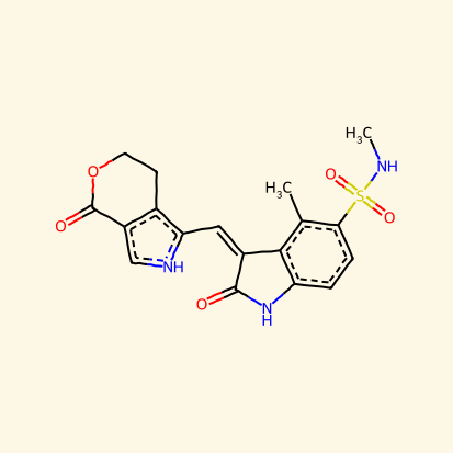 CNS(=O)(=O)c1ccc2c(c1C)/C(=C/c1[nH]cc3c1CCOC3=O)C(=O)N2